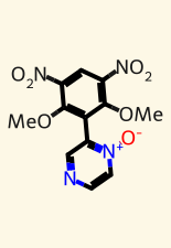 COc1c([N+](=O)[O-])cc([N+](=O)[O-])c(OC)c1-c1cncc[n+]1[O-]